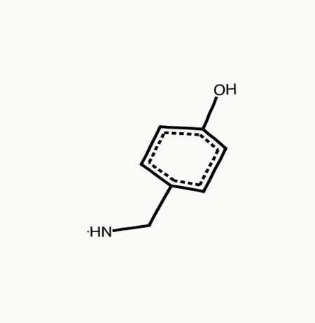 [NH]Cc1ccc(O)cc1